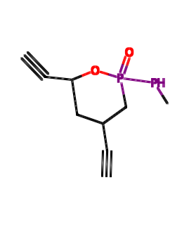 C#CC1CC(C#C)OP(=O)(PC)C1